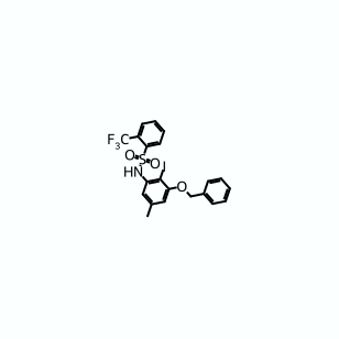 Cc1cc(NS(=O)(=O)c2ccccc2C(F)(F)F)c(I)c(OCc2ccccc2)c1